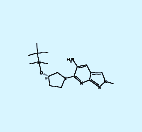 Cn1cc2cc(N)c(N3CC[C@H](O[Si](C)(C)C(C)(C)C)C3)nc2n1